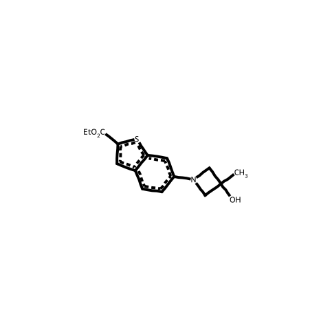 CCOC(=O)c1cc2ccc(N3CC(C)(O)C3)cc2s1